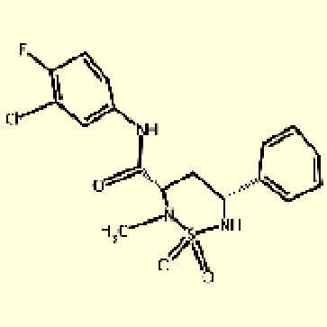 CN1[C@H](C(=O)Nc2ccc(F)c(Cl)c2)C[C@H](c2ccccc2)NS1(=O)=O